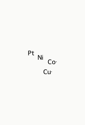 [Co].[Cu].[Ni].[Pt]